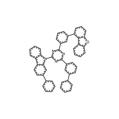 c1ccc(-c2cccc(-c3nc(-c4cccc(-c5cccc6oc7ccccc7c56)c4)nc(-n4c5ccccc5c5ccc(-c6ccccc6)cc54)n3)c2)cc1